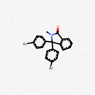 CC(=O)c1ccc(C2(c3ccc(C(C)=O)cc3)c3ccccc3C(=O)N2C)cc1